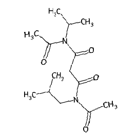 CC(=O)N(CC(C)C)C(=O)CC(=O)N(C(C)=O)C(C)C